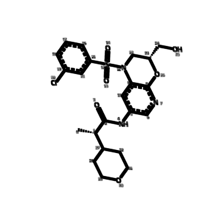 C[C@H](C(=O)Nc1cnc2c(c1)N(S(=O)(=O)c1cccc(Cl)c1)C[C@H](CO)O2)C1CCOCC1